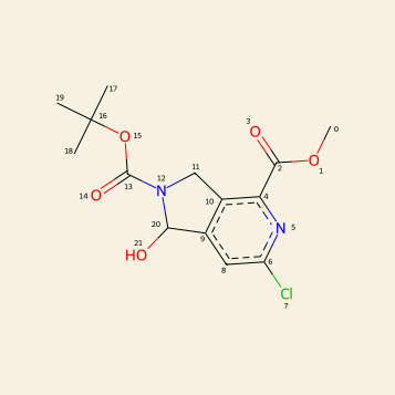 COC(=O)c1nc(Cl)cc2c1CN(C(=O)OC(C)(C)C)C2O